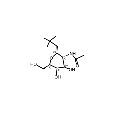 CC(=O)N[C@@H]1[C@@H](O)[C@@H](O)[C@@H](CO)O[C@H]1CC(C)(C)C